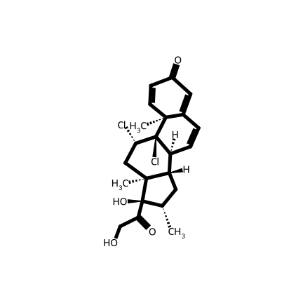 C[C@H]1C[C@H]2[C@@H]3C=CC4=CC(=O)C=C[C@]4(C)[C@@]3(Cl)[C@@H](Cl)C[C@]2(C)[C@@]1(O)C(=O)CO